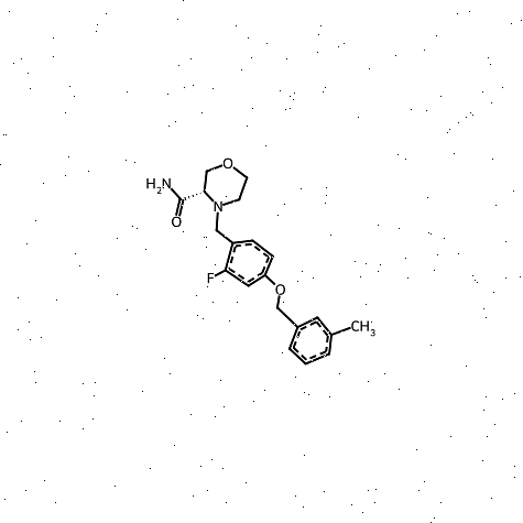 Cc1cccc(COc2ccc(CN3CCOC[C@H]3C(N)=O)c(F)c2)c1